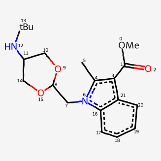 COC(=O)c1c(C)n(CC2OCC(NC(C)(C)C)CO2)c2ccccc12